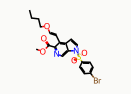 CCCCO/C=C/c1c(C(=O)OC)ncc2c1ccn2S(=O)(=O)c1ccc(Br)cc1